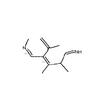 C=C(C)C(/C=N\C)=C(/C)C(C)C=N